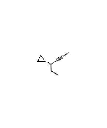 CC#CC(CC)C1[CH]C1